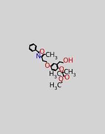 CCOC(=O)C(C)(C)Oc1ccc(OCCc2nc(-c3ccccc3)oc2C)cc1CCO